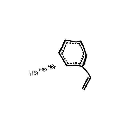 Br.Br.Br.C=Cc1ccccc1